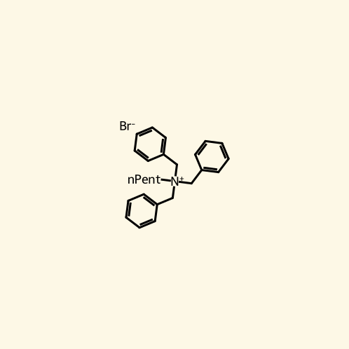 CCCCC[N+](Cc1ccccc1)(Cc1ccccc1)Cc1ccccc1.[Br-]